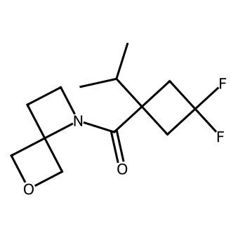 CC(C)C1(C(=O)N2CCC23COC3)CC(F)(F)C1